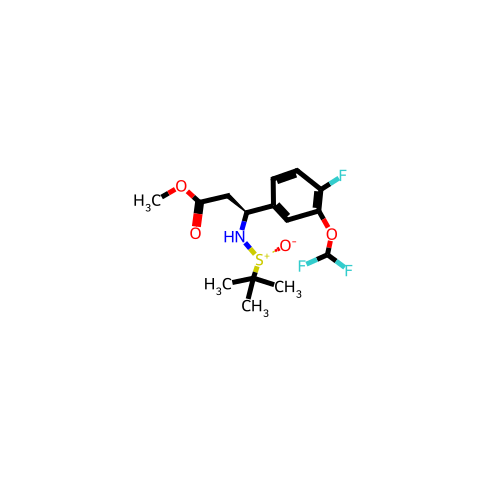 COC(=O)C[C@H](N[S@+]([O-])C(C)(C)C)c1ccc(F)c(OC(F)F)c1